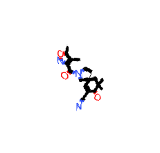 Cc1onc(C(=O)N2CC[C@]3(C=C(C#N)C(=O)C(C)(C)C3)C2)c1C